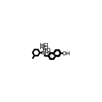 CC1CCCC(NCc2ccc3cc(O)ccc3c2O)C1.Cl.Cl